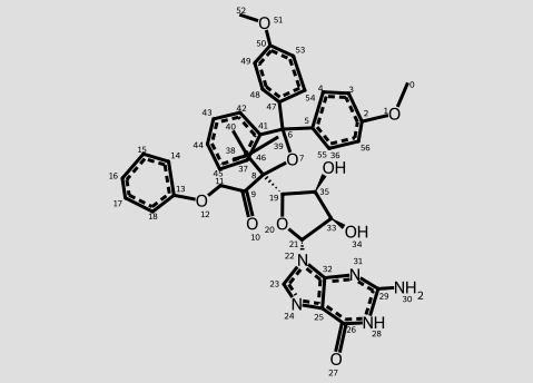 COc1ccc(C(OC(C(=O)COc2ccccc2)([C@H]2O[C@@H](n3cnc4c(=O)[nH]c(N)nc43)[C@H](O)[C@@H]2O)C(C)(C)C)(c2ccccc2)c2ccc(OC)cc2)cc1